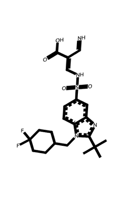 CC(C)(C)c1nc2cc(S(=O)(=O)N/C=C(\C=N)C(=O)O)ccc2n1CC1CCC(F)(F)CC1